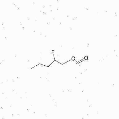 CCCC(F)CO[C]=O